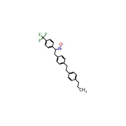 CCCc1ccc(CCc2ccc(CC([N][O])c3ccc(C(F)(F)F)cc3)cc2)cc1